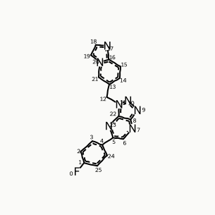 Fc1ccc(-c2cnc3nnn(Cc4ccc5nccn5c4)c3n2)cc1